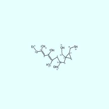 CCO/C(C)=C/C(O)=C(\C)CN(C=O)CC1(CO)CC1CS